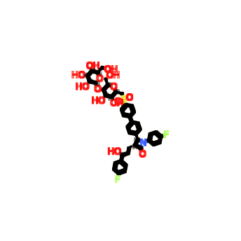 O=C1[C@H](CC[C@H](O)c2ccc(F)cc2)[C@@H](c2ccc(-c3ccc(S(=O)(=O)C[C@@H]4O[C@H](CO)C(O[C@@H]5O[C@H](CO)[C@@H](O)[C@H](O)[C@H]5O)[C@H](O)[C@H]4O)cc3)cc2)N1c1ccc(F)cc1